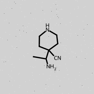 CC(N)C1(C#N)CCNCC1